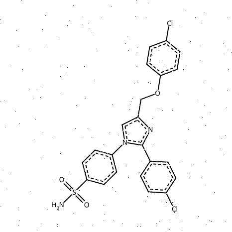 NS(=O)(=O)c1ccc(-n2cc(COc3ccc(Cl)cc3)nc2-c2ccc(Cl)cc2)cc1